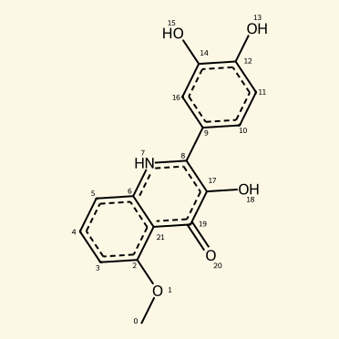 COc1cccc2[nH]c(-c3ccc(O)c(O)c3)c(O)c(=O)c12